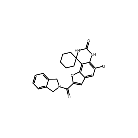 O=C1Nc2c(Cl)cc3cc(C(=O)N4Cc5ccccc5C4)oc3c2C2(CCCCC2)N1